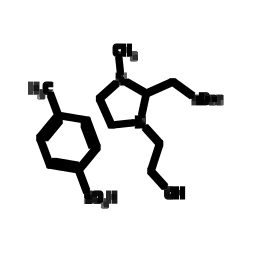 CCCCCCCCCCCC1N(C)CCN1CCO.Cc1ccc(S(=O)(=O)O)cc1